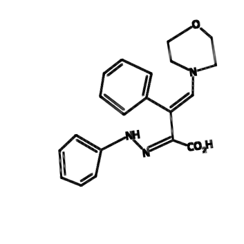 O=C(O)C(=N/Nc1ccccc1)/C(=C/N1CCOCC1)c1ccccc1